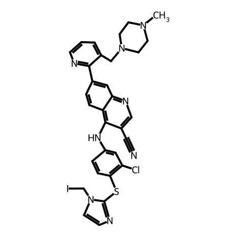 CN1CCN(Cc2cccnc2-c2ccc3c(Nc4ccc(Sc5nccn5CI)c(Cl)c4)c(C#N)cnc3c2)CC1